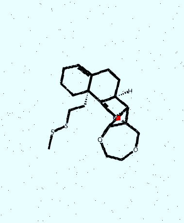 CSSCC[C@]12CCCC=C1CC[C@@H]1C2=CC[C@]23COCCOC2CC[C@@H]13